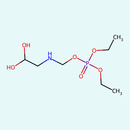 CCOP(=O)(OCC)OCNCC(O)O